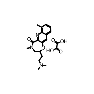 Cc1cccc2cc3c(nc12)C(=O)N(C)CC(CCN(C)C)O3.O=C(O)C(=O)O